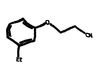 CCc1cccc(OCCC#N)c1